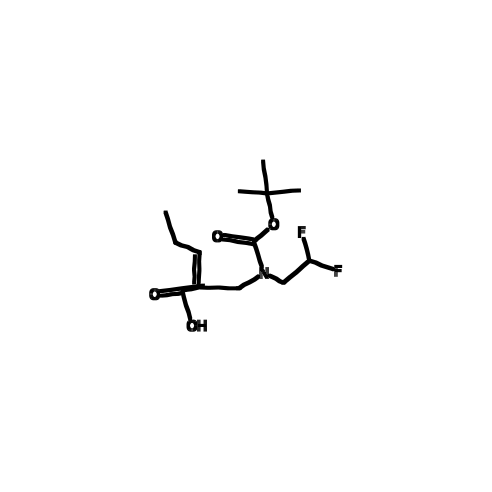 CCC=C(CN(CC(F)F)C(=O)OC(C)(C)C)C(=O)O